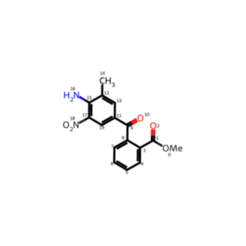 COC(=O)c1ccccc1C(=O)c1cc(C)c(N)c([N+](=O)[O-])c1